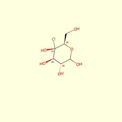 OC[C@H]1OC(O)[C@H](O)[C@@H](O)[C@]1(O)Cl